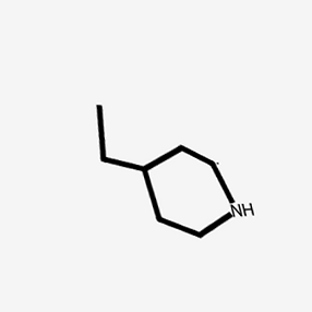 CCC1C[CH]NCC1